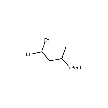 [CH2]CCCCC(C)CC(C[CH2])CC